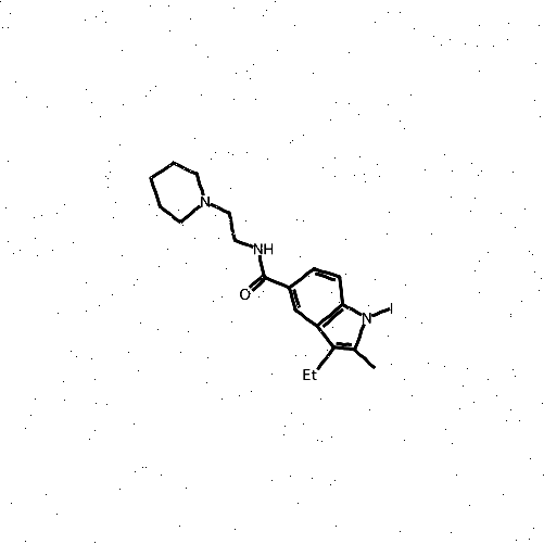 CCc1c(C)n(I)c2ccc(C(=O)NCCN3CCCCC3)cc12